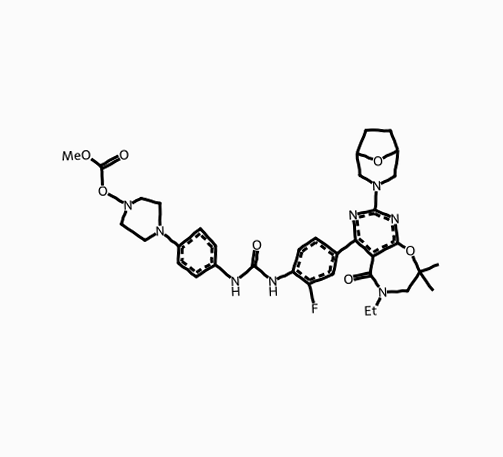 CCN1CC(C)(C)Oc2nc(N3CC4CCC(C3)O4)nc(-c3ccc(NC(=O)Nc4ccc(N5CCN(OC(=O)OC)CC5)cc4)c(F)c3)c2C1=O